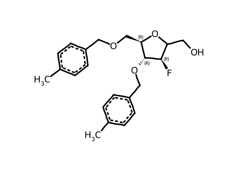 Cc1ccc(COC[C@H]2OC(CO)[C@@H](F)[C@@H]2OCc2ccc(C)cc2)cc1